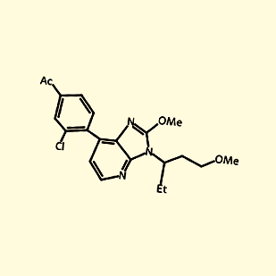 CCC(CCOC)n1c(OC)nc2c(-c3ccc(C(C)=O)cc3Cl)ccnc21